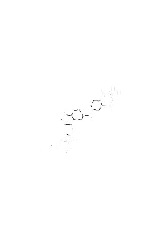 CCCCN(CCS)S(=O)(=O)CC1=CC(C)(C)N=c2cc3c(cc21)=Nc1cc2c(cc1O3)N(C)C(C)(C)CC2C